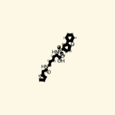 O=C(Cc1cccs1)NCCCCC(NS(=O)(=O)c1ccc2oc3ccccc3c2c1)C(=O)O